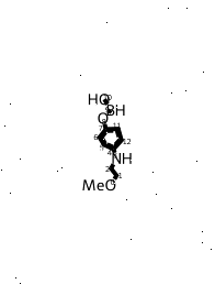 COCCNc1ccc(OBO)cc1